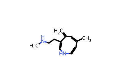 C=C1/C=C(C)\C=C/N/C=C\1CCNC